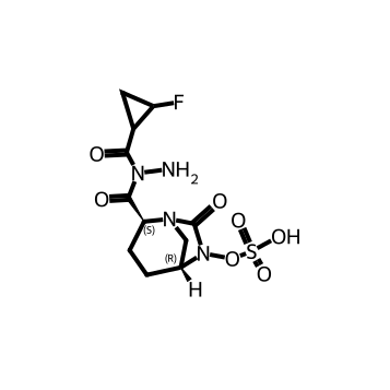 NN(C(=O)C1CC1F)C(=O)[C@@H]1CC[C@@H]2CN1C(=O)N2OS(=O)(=O)O